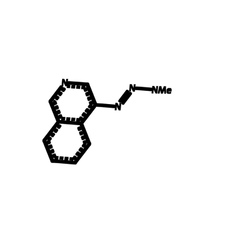 CNN=Nc1cncc2ccccc12